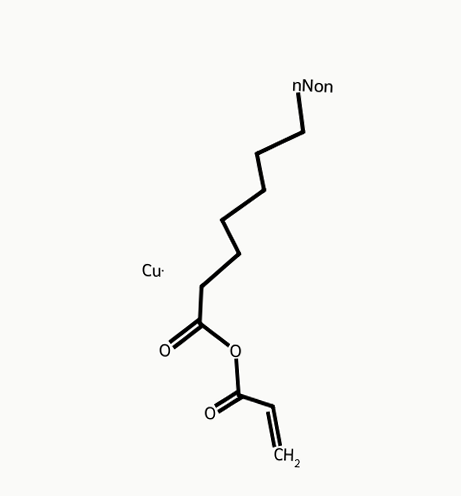 C=CC(=O)OC(=O)CCCCCCCCCCCCCCC.[Cu]